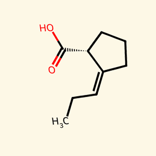 CC/C=C1/CCC[C@H]1C(=O)O